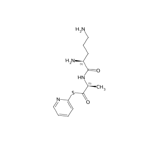 C[C@H](NC(=O)[C@@H](N)CCCN)C(=O)Sc1ccccn1